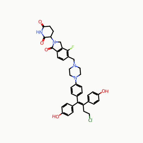 O=C1CCC(N2Cc3c(ccc(CN4CCN(c5ccc(C(=C(CCCl)c6ccc(O)cc6)c6ccc(O)cc6)cc5)CC4)c3F)C2=O)C(=O)N1